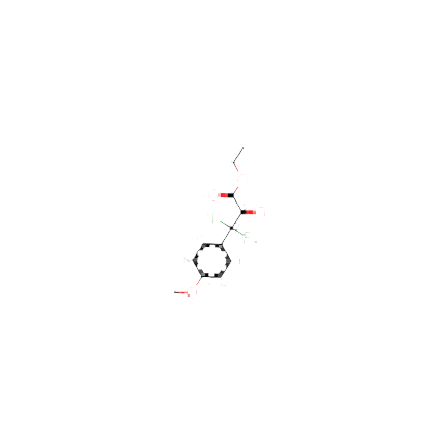 CCOC(=O)C(=O)C(F)(F)c1ccc(OC)cc1